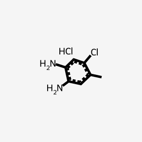 Cc1cc(N)c(N)cc1Cl.Cl